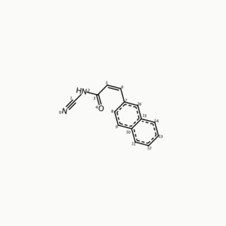 N#CNC(=O)/C=C\c1ccc2ccccc2c1